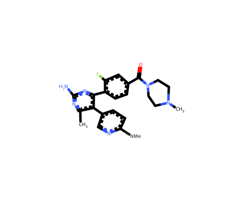 CNc1ccc(-c2c(C)nc(N)nc2-c2ccc(C(=O)N3CCN(C)CC3)cc2F)cn1